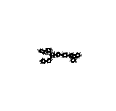 c1ccc(-c2cccc(-c3nc(-c4ccc(-c5ccc(-c6ccc7c(c6)C6(CCCCC6)c6ccccc6-7)cc5)cc4)nc(-c4cccc5c4oc4ccccc45)n3)c2)cc1